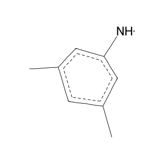 Cc1cc(C)cc([NH])c1